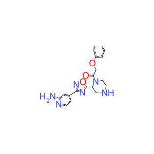 Nc1cc(-c2noc([C@H]3CNCCN3C(=O)COc3ccccc3)n2)ccn1